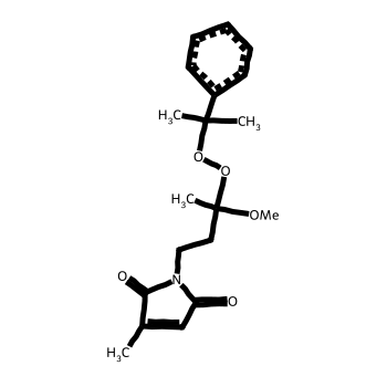 COC(C)(CCN1C(=O)C=C(C)C1=O)OOC(C)(C)c1ccccc1